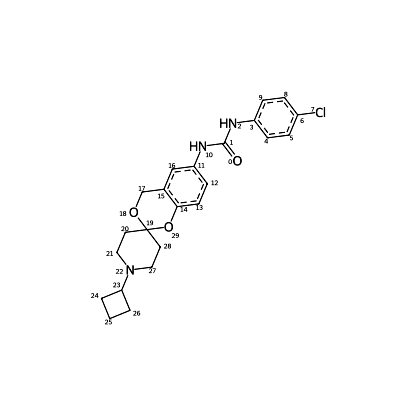 O=C(Nc1ccc(Cl)cc1)Nc1ccc2c(c1)COC1(CCN(C3CCC3)CC1)O2